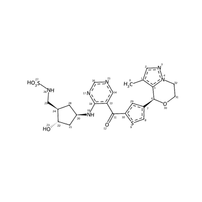 Cc1cnn2c1[C@H](c1csc(C(=O)c3cncnc3N[C@H]3C[C@H](O)[C@@H]([CH]NS(=O)(=O)O)C3)c1)OCC2